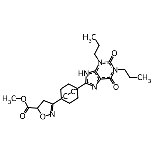 CCCn1c(=O)c2nc(C34CCC(C5=NOC(C(=O)OC)C5)(CC3)CC4)[nH]c2n(CCC)c1=O